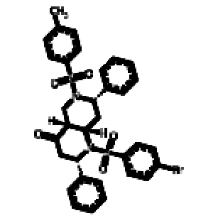 Cc1ccc(S(=O)(=O)N2C[C@H]3C(=O)C[C@@H](c4ccccc4)N(S(=O)(=O)c4ccc(Br)cc4)[C@H]3C[C@H]2c2ccccc2)cc1